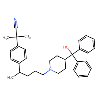 CC(CCCN1CCC(C(O)(c2ccccc2)c2ccccc2)CC1)c1ccc(C(C)(C)C#N)cc1